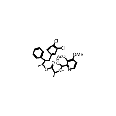 COc1ccnc(C(O)N[C@@H](C)C(=O)O[C@@H](C)[C@H](Cc2ccc(Cl)c(Cl)c2)c2ccccc2)c1OC(C)=O